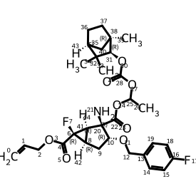 C=CCOC(=O)[C@@]1(F)[C@@H]2C[C@@H](OCc3ccc(F)cc3)[C@@](N)(C(=O)OC(C)OC(=O)O[C@H]3C(C)(C)[C@H]4CC[C@]3(C)C4)[C@@H]21